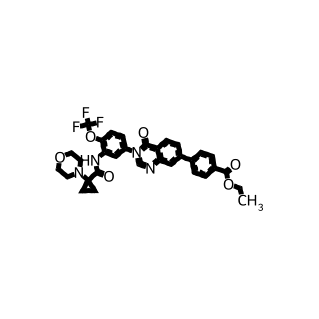 CCOC(=O)c1ccc(-c2ccc3c(=O)n(-c4ccc(OC(F)(F)F)c(NC(=O)C5(N6CCOCC6)CC5)c4)cnc3c2)cc1